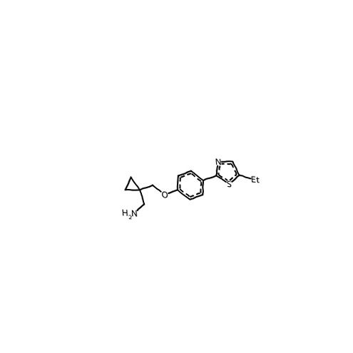 CCc1cnc(-c2ccc(OCC3(CN)CC3)cc2)s1